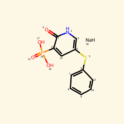 O=c1[nH]cc(Sc2ccccc2)cc1P(=O)(O)O.[NaH]